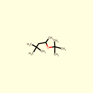 CC(CC(C)(C)C)OC(C)(C)C